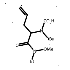 C=CCC(C(=O)N(CC)OC)N(C(=O)O)C(C)(C)C